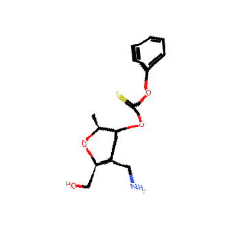 C[C@@H]1O[C@H](CO)[C@H](CN)C1OC(=S)Oc1ccccc1